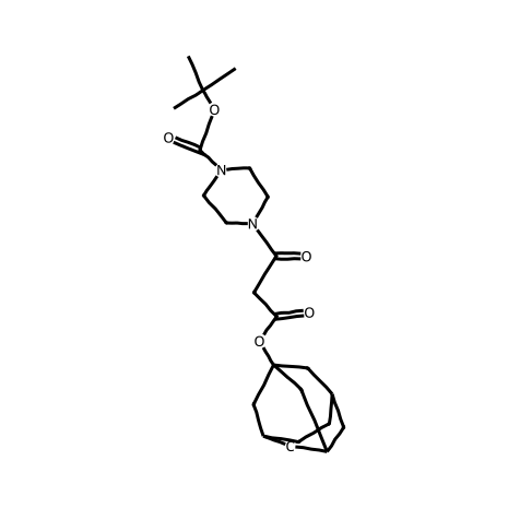 CC(C)(C)OC(=O)N1CCN(C(=O)CC(=O)OC23CC4CCC(CC(C4)C2)C3)CC1